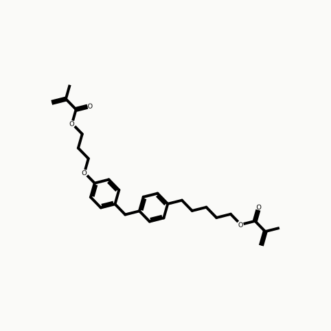 C=C(C)C(=O)OCCCCCc1ccc(Cc2ccc(OCCCOC(=O)C(=C)C)cc2)cc1